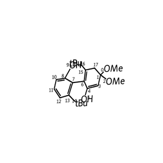 COC1(OC)C=C(O)C(c2c(O)cccc2C(C)(C)C)=C(C(C)(C)C)C1